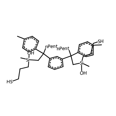 CCCCCC(C[Si](C)(O)CCCS)(c1ccc(C)cc1)c1cccc(C(CCCCC)(C[Si](C)(O)CCCS)c2ccc(C)cc2)c1